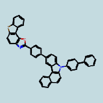 c1ccc(-c2ccc(-n3c4ccc(-c5ccc(-c6nc7ccc8sc9ccccc9c8c7o6)cc5)cc4c4c5ccccc5ccc43)cc2)cc1